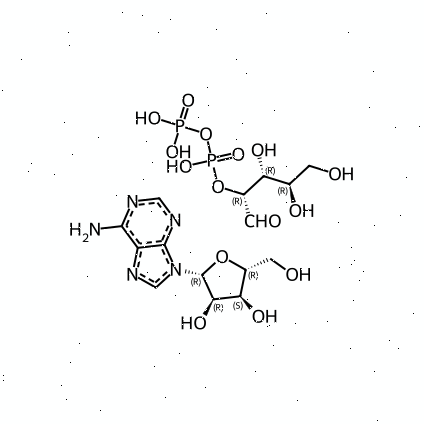 Nc1ncnc2c1ncn2[C@@H]1O[C@H](CO)[C@@H](O)[C@H]1O.O=C[C@H](OP(=O)(O)OP(=O)(O)O)[C@H](O)[C@H](O)CO